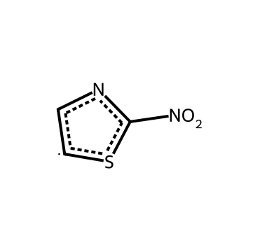 O=[N+]([O-])c1nc[c]s1